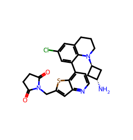 N[C@H]1C[C@H](N2CCCc3cc(Cl)cc(-c4ccnc5cc(CN6C(=O)CCC6=O)sc45)c32)C1